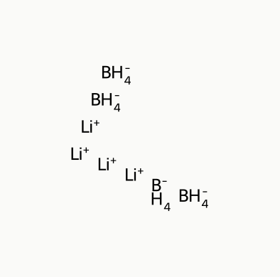 [BH4-].[BH4-].[BH4-].[BH4-].[Li+].[Li+].[Li+].[Li+]